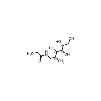 CCC(=O)NC[C@H](C)[C@@H](O)[C@H](O)[C@H](O)CO